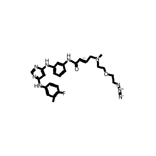 Cc1cc(Nc2cc(Nc3cccc(NC(=O)/C=C/CN(C)CCOCCN=[N+]=[N-])c3)ncn2)ccc1F